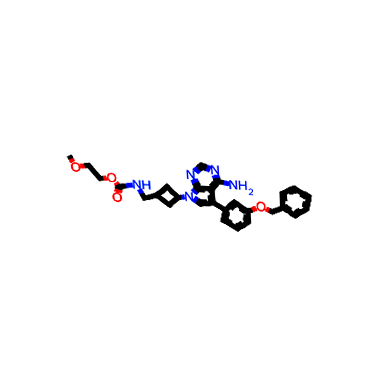 COCCOC(=O)NCC1CC(n2cc(-c3cccc(OCc4ccccc4)c3)c3c(N)ncnc32)C1